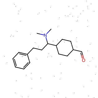 CN(C)C(CCc1ccccc1)C1CCC(C=O)CC1